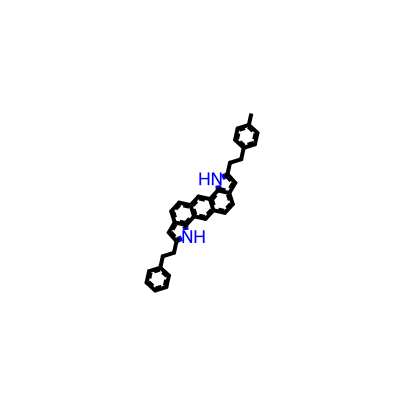 Cc1ccc(CCc2cc3ccc4cc5c(ccc6cc(CCc7ccccc7)[nH]c65)cc4c3[nH]2)cc1